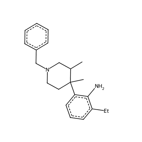 CCc1cccc(C2(C)CCN(Cc3ccccc3)CC2C)c1N